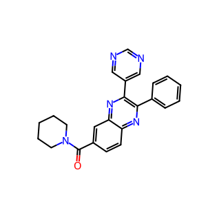 O=C(c1ccc2nc(-c3ccccc3)c(-c3cncnc3)nc2c1)N1CCCCC1